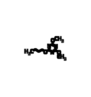 CCCCOc1nc(OC)nc(OC)n1